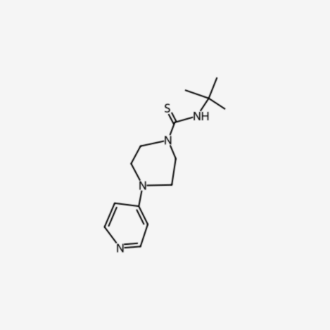 CC(C)(C)NC(=S)N1CCN(c2ccncc2)CC1